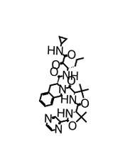 CCC[C@H](NC(=O)[C@@H]1Cc2ccccc2CN1C(=O)[C@@H](NC(=O)[C@@H](NC(=O)c1cnccn1)C(C)(C)C)C(C)(C)C)C(=O)C(=O)NC1CC1